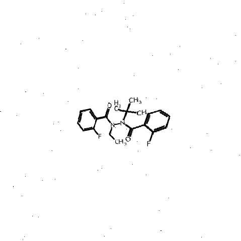 CCN(C(=O)c1ccccc1F)N(C(=O)c1ccccc1F)C(C)(C)C